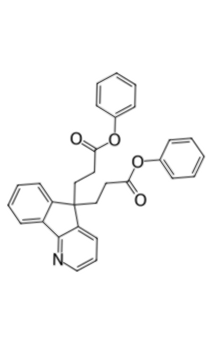 O=C(CCC1(CCC(=O)Oc2ccccc2)c2ccccc2-c2ncccc21)Oc1ccccc1